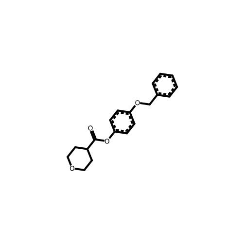 O=C(Oc1ccc(OCc2ccccc2)cc1)C1CCOCC1